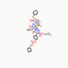 CS[C@@]1(NC(=O)C(NC(=O)OCC(Cl)(Cl)Cl)c2ccc(OC(=O)OCc3ccccc3)cc2)C(=O)N2[C@@H](C(=O)OCc3ccccc3)C(C)(C)S[C@@H]21